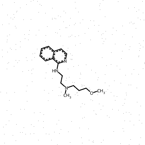 COCCCN(C)CCNc1nccc2ccccc12